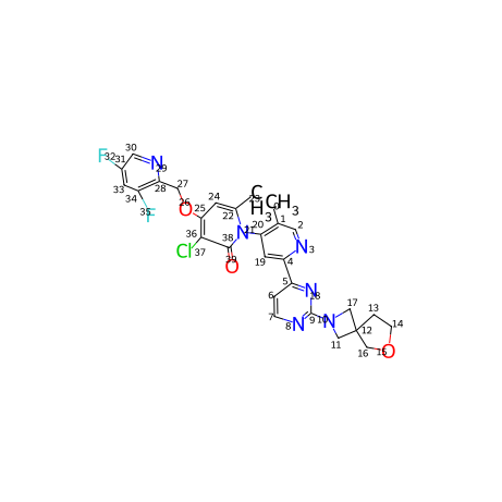 Cc1cnc(-c2ccnc(N3CC4(CCOC4)C3)n2)cc1-n1c(C)cc(OCc2ncc(F)cc2F)c(Cl)c1=O